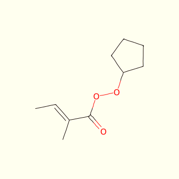 CC=C(C)C(=O)OOC1CCCC1